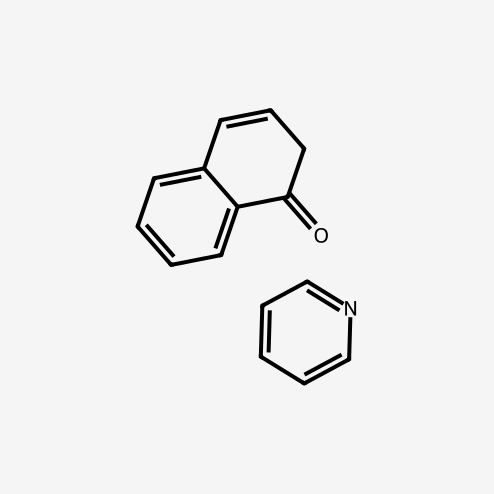 O=C1CC=Cc2ccccc21.c1ccncc1